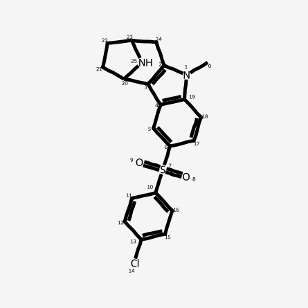 Cn1c2c(c3cc(S(=O)(=O)c4ccc(Cl)cc4)ccc31)C1CCC(C2)N1